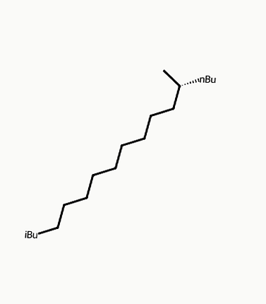 CCCC[C@@H](C)CCCCCCCCCC(C)CC